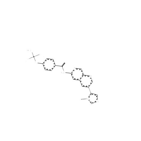 BC(B)(B)Oc1ccc(C(=O)Nc2cc3cc(-c4cncn4C)cnc3cn2)cc1